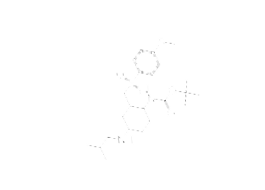 CSc1ccc(S(=O)(=O)CC2CC(NCC(C)C)CCC2NC(=O)OC(C)(C)C)cc1